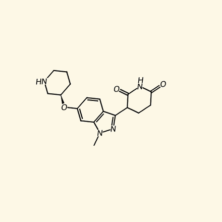 Cn1nc(C2CCC(=O)NC2=O)c2ccc(O[C@@H]3CCCNC3)cc21